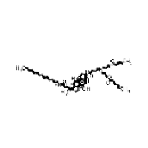 CCCCCCCCCCCCCCNC(=O)CC[C@@H](C)[C@H]1CC[C@H]2[C@@H]3[C@@H](O)C[C@@H]4C[C@H](OC(=O)CCCN(CCCOC(=O)CCCC)CCCOC(=O)CCCCC)CC[C@]4(C)[C@H]3CC[C@]12C